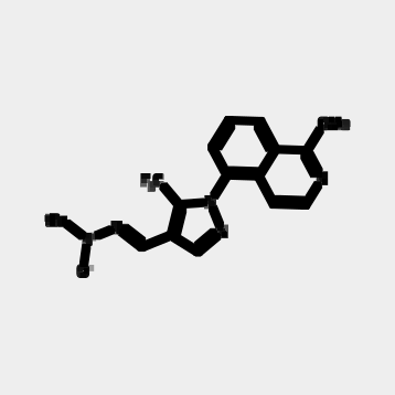 COc1nccc2c(-n3ncc(C=N[S+]([O-])C(C)(C)C)c3C(F)(F)F)cccc12